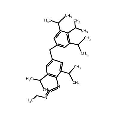 CCN=C=Nc1c(C(C)C)cc(Cc2cc(C(C)C)c(C(C)C)c(C(C)C)c2)cc1C(C)C